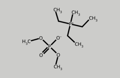 CC[P+](C)(CC)CC.COP(=O)([O-])OC